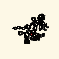 COc1ccc([C@H](Cc2c(Cl)c[n+](O)cc2Cl)c2cc(CN(C(=O)O[C@H]3CN4CCC3CC4)c3ccccc3CN(C)C)ccc2C(=O)[O-])cc1OC